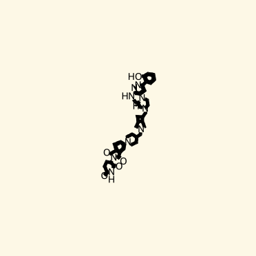 O=C1CCC(N2C(=O)c3ccc(N4CCC(CN5CC6CC(CN7CCN8c9cc(-c%10ccccc%10O)nnc9NC[C@H]8C7)C6C5)CC4)cc3C2=O)C(=O)N1